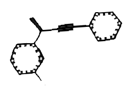 C=C(C#Cc1ccccc1)c1cccc(Br)c1